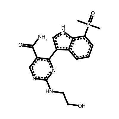 CP(C)(=O)c1cccc2c(-c3nc(NCCO)ncc3C(N)=O)c[nH]c12